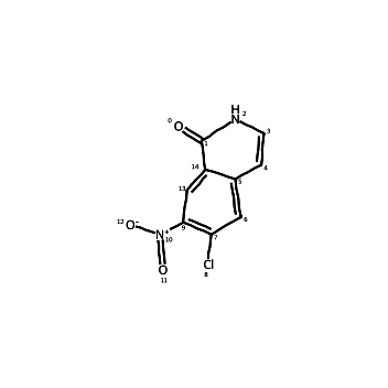 O=c1[nH]ccc2cc(Cl)c([N+](=O)[O-])cc12